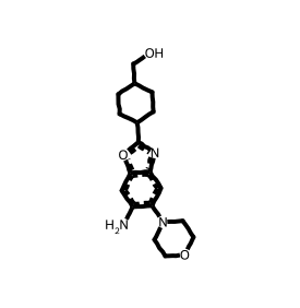 Nc1cc2oc(C3CCC(CO)CC3)nc2cc1N1CCOCC1